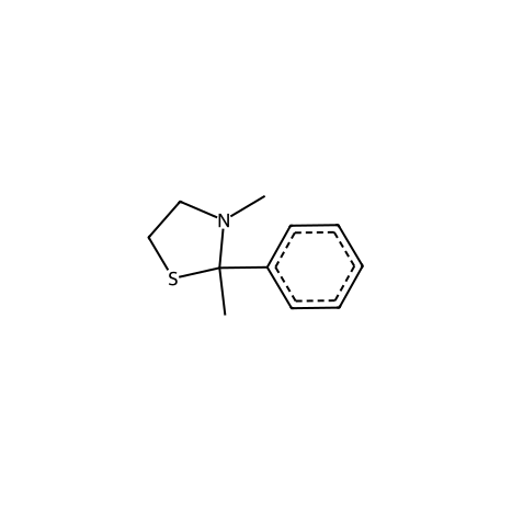 CN1CCSC1(C)c1ccccc1